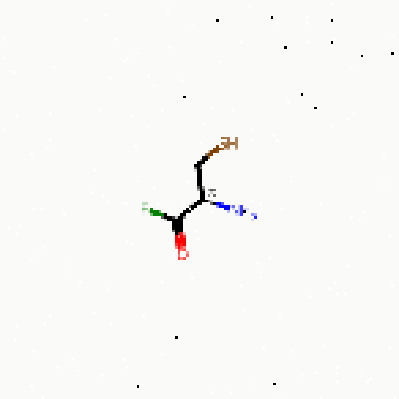 N[C@H](CS)C(=O)F